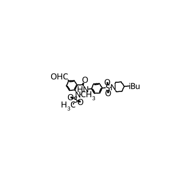 CCC(C)C1CCN(S(=O)(=O)c2ccc(NC(=O)c3cc(C=O)ccc3N(C)S(C)(=O)=O)cc2)CC1